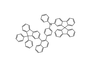 c1ccc(N(c2ccc(-c3ccc4ccccc4c3-c3ccc4c(c3)C(c3ccccc3)(c3ccccc3)c3ccccc3-4)cc2)c2ccc3c(c2)C2(c4ccccc4-c4ccccc42)c2ccccc2-3)cc1